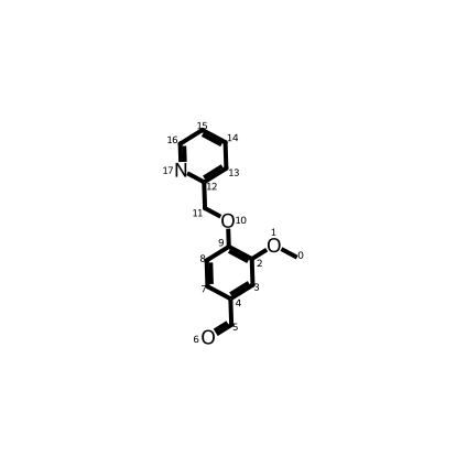 COc1cc(C=O)ccc1OCc1ccccn1